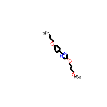 CCC/C=C/COc1ccc(-c2ncc(OCCCCOCCCC)cn2)cc1